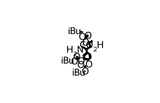 CCC(C)COC(=O)OC(C)CC(c1ccc(OC(=O)OC(C)CC)c(OC(=O)OC(C)CC)c1)[C@H](N)C(=O)O